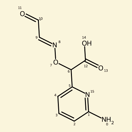 Nc1cccc(C(O/N=C/[C]=O)C(=O)O)n1